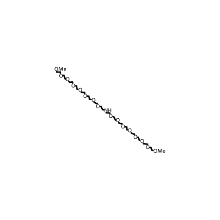 COCCOCCOCCOCCOCCOCCOCCOCCNCCOCCOCCOCCOCCOCCOCCOCCOC